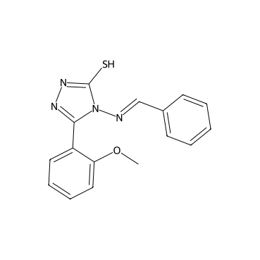 COc1ccccc1-c1nnc(S)n1N=Cc1ccccc1